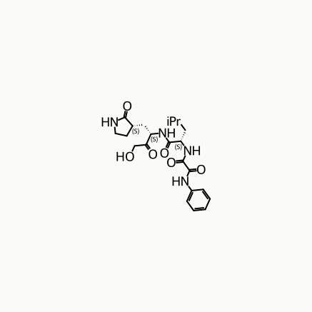 CC(C)C[C@H](NC(=O)C(=O)Nc1ccccc1)C(=O)N[C@@H](C[C@@H]1CCNC1=O)C(=O)CO